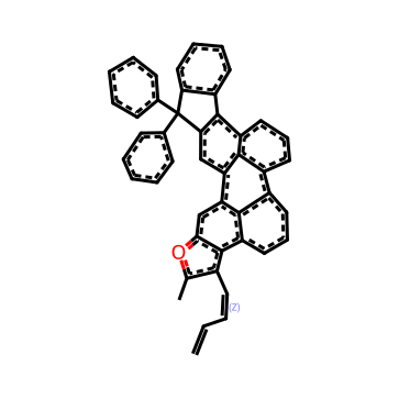 C=C/C=C\c1c(C)oc2cc3c4cc5c(c6cccc(c7cccc(c12)c73)c64)-c1ccccc1C5(c1ccccc1)c1ccccc1